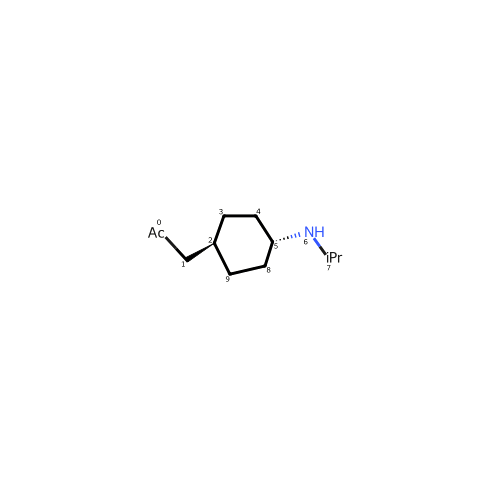 CC(=O)C[C@H]1CC[C@H](NC(C)C)CC1